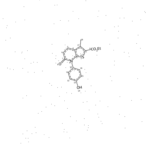 CCOC(=O)c1sc2c(ccc(=O)n2-c2ccc(O)cc2)c1C